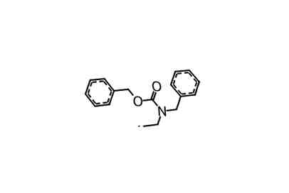 [CH2]CN(Cc1ccccc1)C(=O)OCc1ccccc1